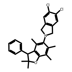 Cc1c(C)c(N2Cc3cc(Cl)c(Cl)cc3C2)c(C)c2c1OC(C)(C)C2c1ccccc1